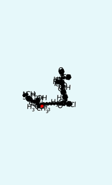 Cc1ncsc1-c1ccc([C@H](C)NC(=O)[C@@H]2C[C@@H](O)CN2C(=O)[C@@H](NC(=O)CCCCCCCCCCNC(=O)C2(C)CCC(c3ccc(Cl)cc3)=C(CN3CCN(c4ccc(C(=O)NS(=O)(=O)c5ccc(N[C@H](CCN6CCOCC6)CSc6ccccc6)c(S(=O)(=O)C(F)(F)F)c5)cc4)CC3)C2)C(C)(C)C)cc1